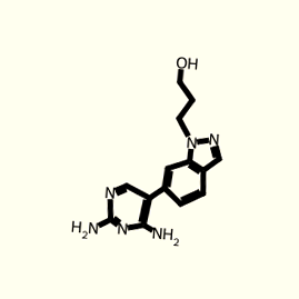 Nc1ncc(-c2ccc3cnn(CCCO)c3c2)c(N)n1